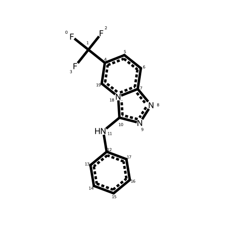 FC(F)(F)c1ccc2nnc(Nc3ccccc3)n2c1